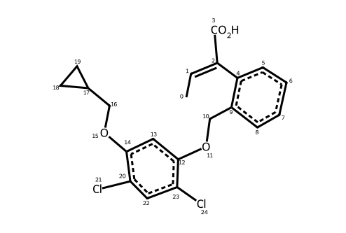 C/C=C(/C(=O)O)c1ccccc1COc1cc(OCC2CC2)c(Cl)cc1Cl